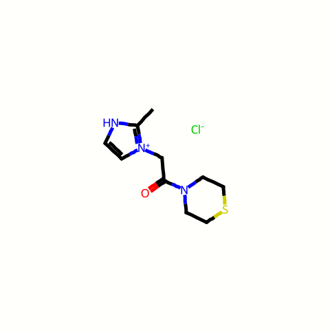 Cc1[nH]cc[n+]1CC(=O)N1CCSCC1.[Cl-]